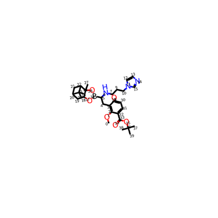 COc1c(CC(NC(=O)CCn2ccnc2)B2OC3CC4CC(C4(C)C)C3(C)O2)cccc1C(=O)OC(C)(C)C